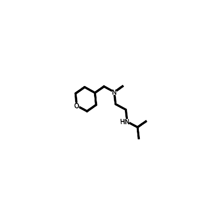 CC(C)NCCN(C)CC1CCOCC1